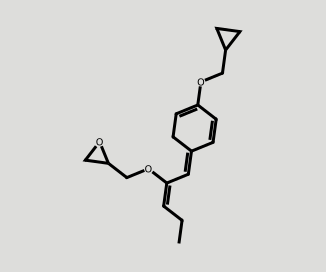 CC/C=C(\C=C1\C=CC(OCC2CC2)=CC1)OCC1CO1